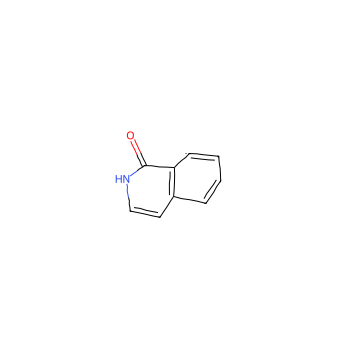 O=c1[nH]ccc2ccc[c]c12